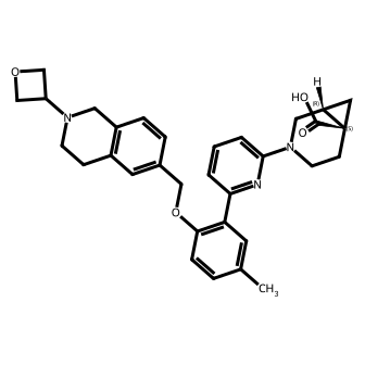 Cc1ccc(OCc2ccc3c(c2)CCN(C2COC2)C3)c(-c2cccc(N3CC[C@@]4(C(=O)O)C[C@H]4C3)n2)c1